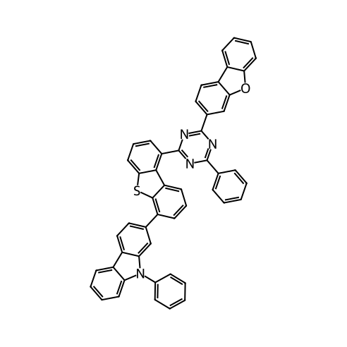 c1ccc(-c2nc(-c3ccc4c(c3)oc3ccccc34)nc(-c3cccc4sc5c(-c6ccc7c8ccccc8n(-c8ccccc8)c7c6)cccc5c34)n2)cc1